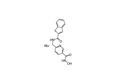 CC(C)(C)[C@H](NC(=O)c1cc2ccccc2s1)c1ccc(C(=O)NO)cn1